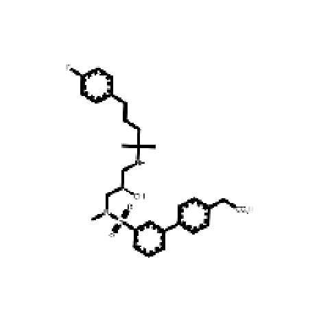 CN(C[C@H](O)CNC(C)(C)CCCc1ccc(F)cc1)S(=O)(=O)c1cccc(-c2ccc(CC(=O)O)cc2)c1